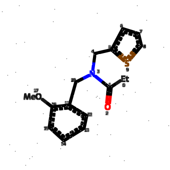 CCC(=O)N(Cc1cccs1)Cc1ccccc1OC